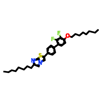 CCCCCCCCOc1ccc(-c2ccc(-c3cn4cc(CCCCCCCC)nc4s3)cc2)c(F)c1F